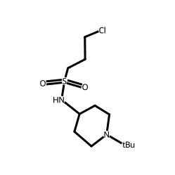 CC(C)(C)N1CCC(NS(=O)(=O)CCCCl)CC1